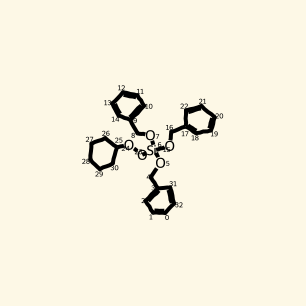 c1ccc(CO[Si](OCc2ccccc2)(OCc2ccccc2)OOC2CCCCC2)cc1